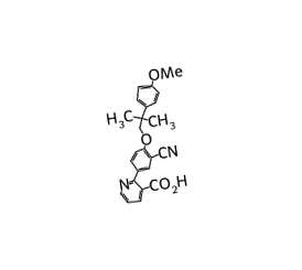 COc1ccc(C(C)(C)COc2ccc(-c3ncccc3C(=O)O)cc2C#N)cc1